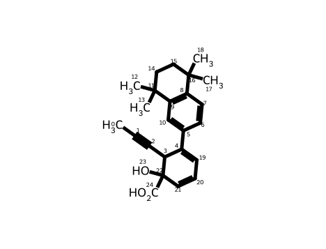 CC#CC1C(c2ccc3c(c2)C(C)(C)CCC3(C)C)=CC=CC1(O)C(=O)O